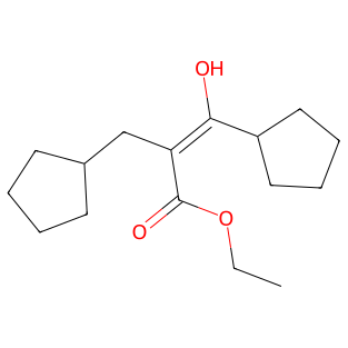 CCOC(=O)C(CC1CCCC1)=C(O)C1CCCC1